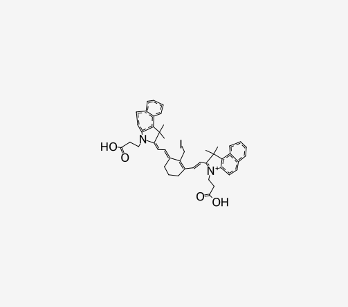 CC1(C)C(/C=C/C2=C(CI)C(=C/C=C3/N(CCC(=O)O)c4ccc5ccccc5c4C3(C)C)/CCC2)=[N+](CCC(=O)O)c2ccc3ccccc3c21